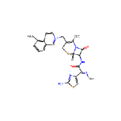 CON=C(C(=O)NC1C(=O)N2C(C(=O)[O-])=C(C[n+]3ccc4c(S(=O)(=O)O)cccc4c3)CS[C@@H]12)c1csc(N)n1